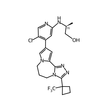 C[C@@H](CO)Nc1cc(-c2cc3n(c2)CCCn2c-3nnc2C2(C(F)(F)F)CCC2)c(Cl)cn1